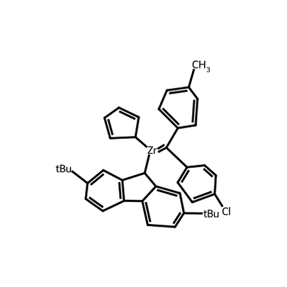 Cc1ccc([C](c2ccc(Cl)cc2)=[Zr]([CH]2C=CC=C2)[CH]2c3cc(C(C)(C)C)ccc3-c3ccc(C(C)(C)C)cc32)cc1